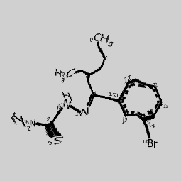 CC[C](C)C(=NNC(N)=S)c1cccc(Br)c1